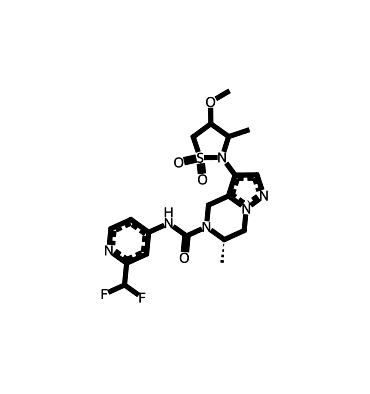 COC1CS(=O)(=O)N(c2cnn3c2CN(C(=O)Nc2ccnc(C(F)F)c2)[C@@H](C)C3)C1C